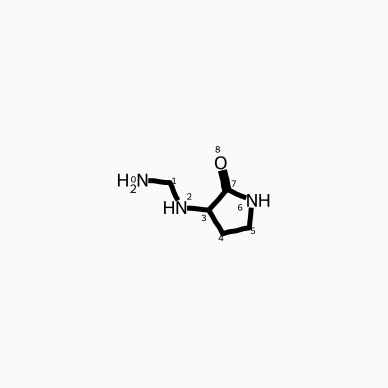 NCNC1CCNC1=O